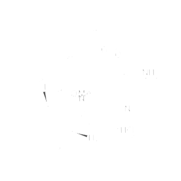 CO[C@@]1(c2ccnc(C(N)=O)c2)[C@@H]2CCC[C@H]1CN(C[C@@H]1CCCO1)C2.Cl